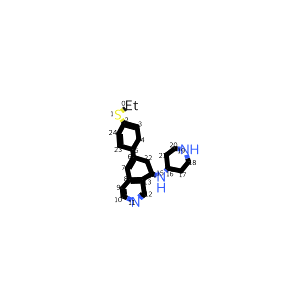 CCSC1=CCC(C2=Cc3ccncc3C(NC3CCNCC3)C2)C=C1